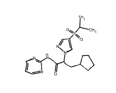 CC(C)S(=O)(=O)c1cnn(C(CC2CCCC2)C(=O)Nc2ncccn2)c1